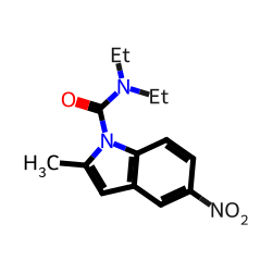 CCN(CC)C(=O)n1c(C)cc2cc([N+](=O)[O-])ccc21